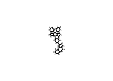 c1ccc2c(c1)-c1ccccc1C21c2ccccc2-n2c3ccc(-c4ccc5ccc6cccnc6c5n4)cc3c3cccc1c32